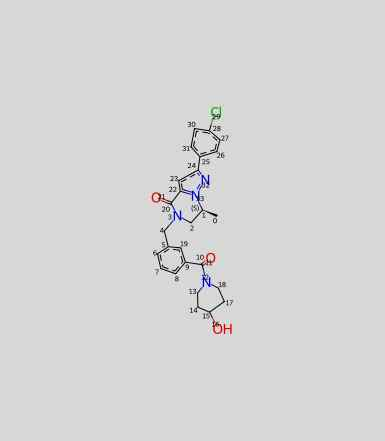 C[C@H]1CN(Cc2cccc(C(=O)N3CCC(O)CC3)c2)C(=O)c2cc(-c3ccc(Cl)cc3)nn21